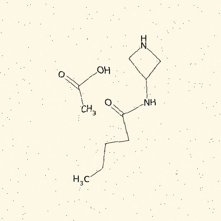 CC(=O)O.CCCCC(=O)NC1CNC1